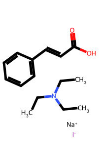 CCN(CC)CC.O=C(O)C=Cc1ccccc1.[I-].[Na+]